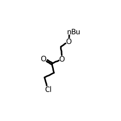 CCCCOCOC(=O)CCCl